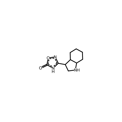 O=c1[nH]c(C2CNC3CCCCC32)no1